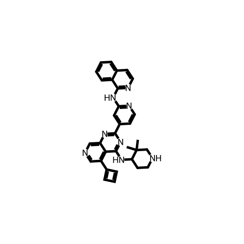 CC1(C)CNCCC1Nc1nc(-c2ccnc(Nc3nccc4ccccc34)c2)nc2cncc(C3=CC=C3)c12